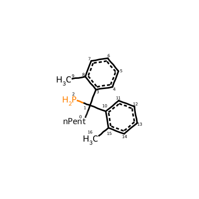 CCCCCC(P)(c1ccccc1C)c1ccccc1C